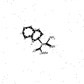 CNC(=O)N(C(=N)N)c1ccc2ccccc2n1